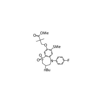 CCCCC1CN(c2ccc(F)cc2)c2cc(SC)c(OCC(C)(C)C(=O)OC)cc2S(=O)(=O)C1